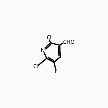 O=Cc1cc(F)c(Cl)nc1Cl